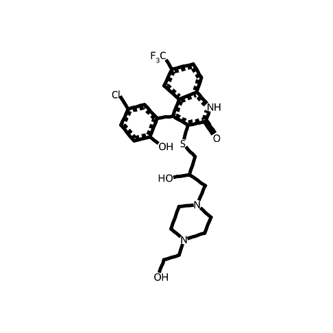 O=c1[nH]c2ccc(C(F)(F)F)cc2c(-c2cc(Cl)ccc2O)c1SCC(O)CN1CCN(CCO)CC1